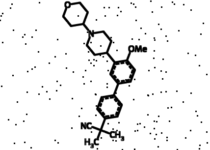 COc1ccc(-c2ccc(C(C)(C)C#N)cc2)cc1C1CCN(C2CCOCC2)CC1